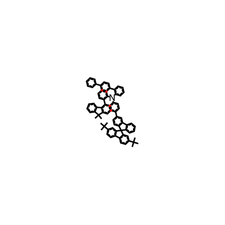 CC(C)(C)c1ccc2c(c1)C1(c3ccccc3-c3cc(-c4ccc(N(c5ccccc5-c5ccc(-c6ccccc6)cc5)c5ccccc5-c5cccc6c5-c5ccccc5C6(C)C)cc4)ccc31)c1cc(C(C)(C)C)ccc1-2